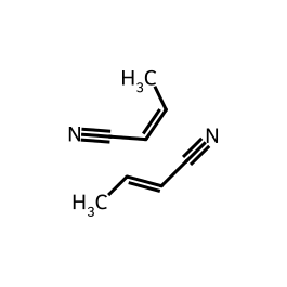 C/C=C/C#N.C/C=C\C#N